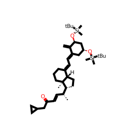 C=C1/C(=C/C=C2\CCC[C@]3(C)[C@@H]([C@H](C)/C=C/C(=O)CC4CC4)CC[C@@H]23)C[C@@H](O[Si](C)(C)C(C)(C)C)C[C@@H]1O[Si](C)(C)C(C)(C)C